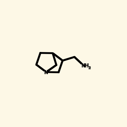 NCC1CN2CCC1C2